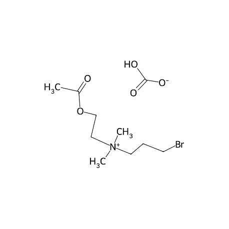 CC(=O)OCC[N+](C)(C)CCCBr.O=C([O-])O